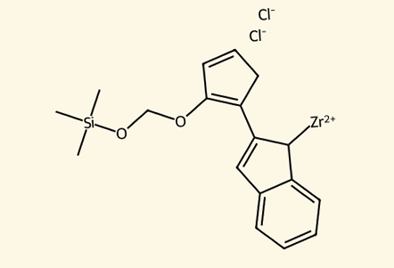 C[Si](C)(C)OCOC1=C(C2=Cc3ccccc3[CH]2[Zr+2])CC=C1.[Cl-].[Cl-]